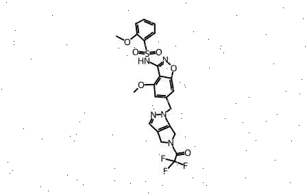 COc1ccccc1S(=O)(=O)Nc1noc2cc(Cn3ncc4c3CN(C(=O)C(F)(F)F)C4)cc(OC)c12